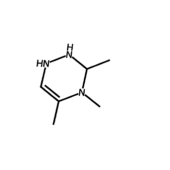 CC1=CNNC(C)N1C